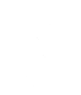 O=C(O)/C=C/c1cnc(OC23CC4CC(CC(C4)C2)C3)cn1